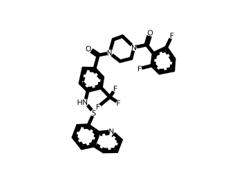 O=C(c1ccc(NSc2cccc3cccnc23)c(C(F)(F)F)c1)N1CCN(C(=O)c2c(F)cccc2F)CC1